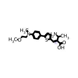 COCCN(C)c1ccc(-c2ccc(/C=C(/C(=O)O)C(C)N)s2)cc1